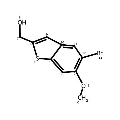 COc1cc2sc(CO)cc2cc1Br